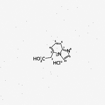 Cl.O=C(O)Cc1cccc2nccn12